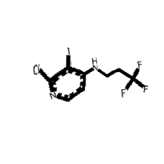 FC(F)(F)CCNc1ccnc(Cl)c1I